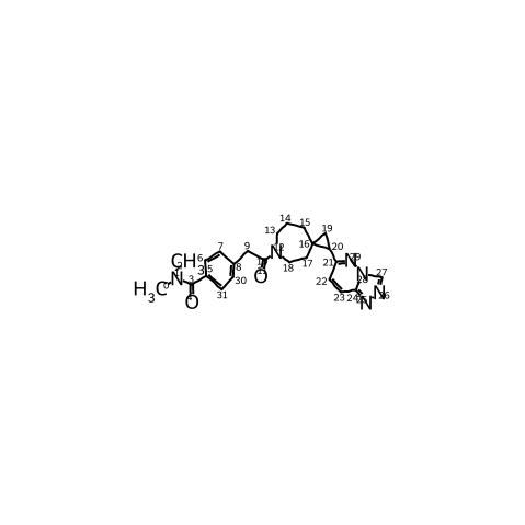 CN(C)C(=O)c1ccc(CC(=O)N2CCCC3(CC2)CC3c2ccc3nncn3n2)cc1